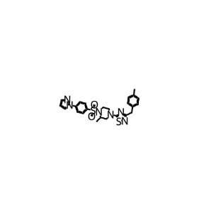 Cc1ccc(Cc2nsc(N3CCN(S(=O)(=O)c4ccc(-n5cccn5)cc4)C(C)C3)n2)cc1